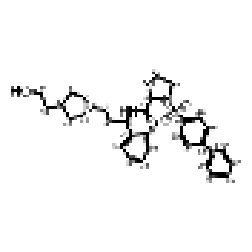 O=C(NC(CCN1CCC(CCO)CC1)c1ccccc1)C1SCCN1S(=O)(=O)c1ccc(-c2ccccc2)cc1